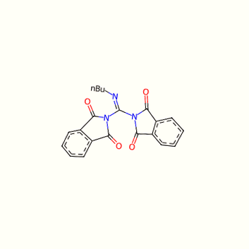 CCCCN=C(N1C(=O)c2ccccc2C1=O)N1C(=O)c2ccccc2C1=O